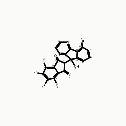 O=C1c2c(F)c(F)c(F)c(F)c2C(=O)C1C1(O)c2cccnc2-c2c(O)cccc21